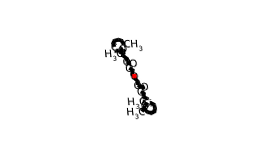 CC1CCCCCC[Si](C)(CCCOC(=O)OCCOCCOC(=O)OCCC[Si]2(C)CCCCCCC(C)O2)O1